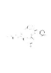 CN(CC(N)=O)C(=O)[C@H](Cc1cccnc1)NC(=O)[C@H](CC(N)=O)NC(=O)[C@@H](N)CCC(=O)OC(C)(C)C